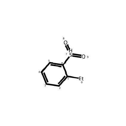 CCc1ccccc1[SH](=O)=O